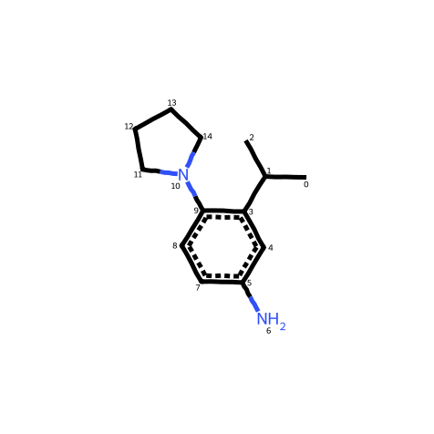 CC(C)c1cc(N)ccc1N1CCCC1